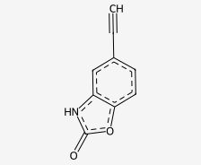 C#Cc1ccc2oc(=O)[nH]c2c1